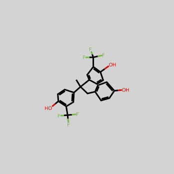 CC(Cc1ccc(O)cc1)(c1ccc(O)c(C(F)(F)F)c1)c1ccc(O)c(C(F)(F)F)c1